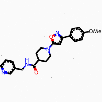 COc1ccc(-c2cc(N3CCC(C(=O)NCc4cccnc4)CC3)on2)cc1